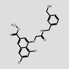 COC(=O)c1cc(OCC(=O)NCc2cccc(CO)c2)c2c(Cl)cc(Cl)cc2c1